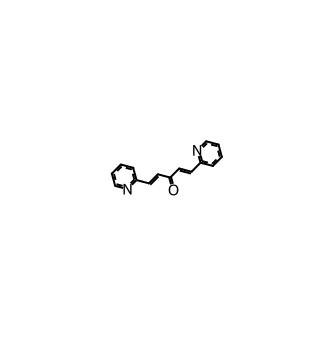 O=C(/C=C/c1ccccn1)/C=C/c1ccccn1